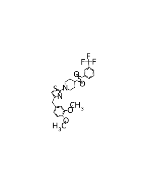 COc1ccc(Cc2csc(N3CCC(S(=O)(=O)c4cccc(C(F)(F)F)c4)CC3)n2)cc1OC